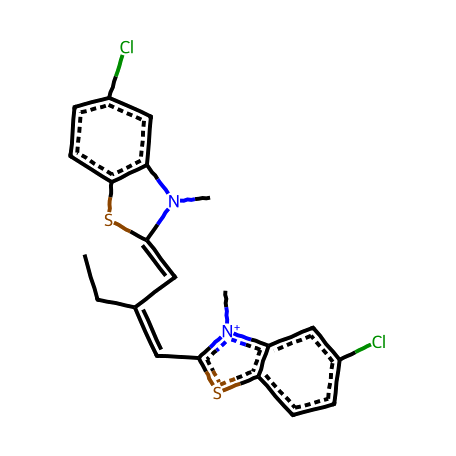 CCC(=Cc1sc2ccc(Cl)cc2[n+]1C)C=C1Sc2ccc(Cl)cc2N1C